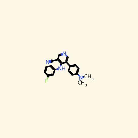 CN(C)c1ccc(-c2cncc(C#N)c2Nc2cccc(F)c2)cc1